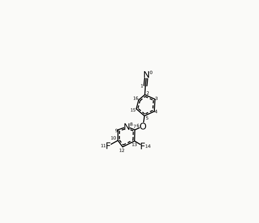 N#Cc1ccc(Oc2ncc(F)cc2F)cc1